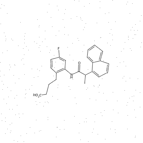 CC(C(=O)Nc1cc(F)ccc1CCCC(=O)O)c1cccc2ccccc12